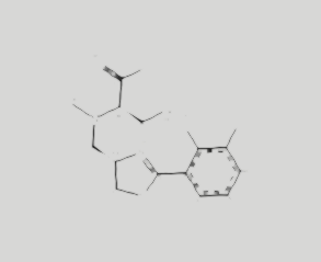 CN(C[C@@H]1CSC(c2cccc(F)c2O)=N1)[C@H](CS)C(=O)O